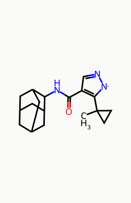 CC1(C2=C(C(=O)NC3C4CC5CC(C4)CC3C5)C=N[N]2)CC1